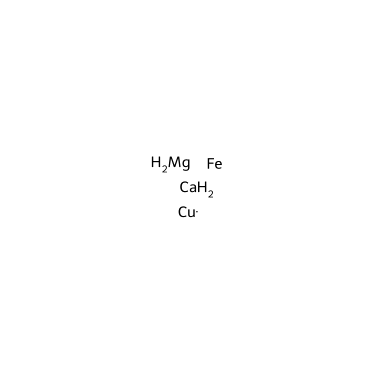 [CaH2].[Cu].[Fe].[MgH2]